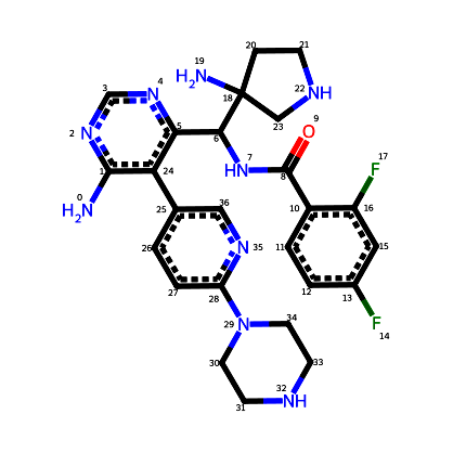 Nc1ncnc(C(NC(=O)c2ccc(F)cc2F)C2(N)CCNC2)c1-c1ccc(N2CCNCC2)nc1